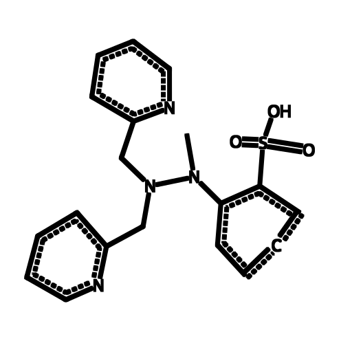 CN(c1ccccc1S(=O)(=O)O)N(Cc1ccccn1)Cc1ccccn1